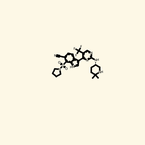 CC1(C)CC[C@H](Nc2ncc(C(F)(F)F)c(-c3c[nH]c4c(S(=O)(=O)N5CCCC5)c(C#N)ccc34)n2)CN1